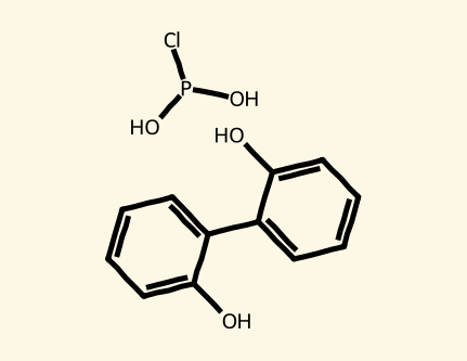 OP(O)Cl.Oc1ccccc1-c1ccccc1O